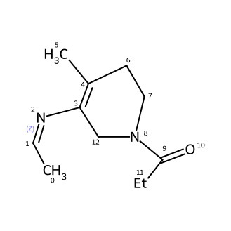 C/C=N\C1=C(C)CCN(C(=O)CC)C1